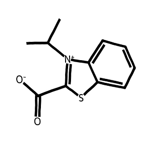 CC(C)[n+]1c(C(=O)[O-])sc2ccccc21